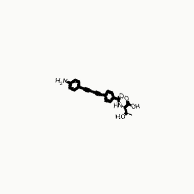 C[C@@H](O)[C@H](NC(=O)c1ccc(C#CC#Cc2ccc(N)cc2)cc1)C(=O)O